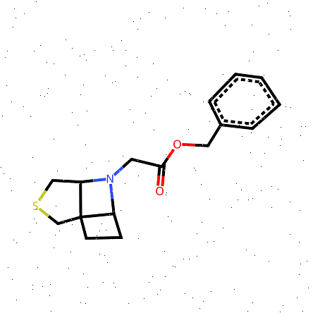 O=C(CN1C2CCC23CSCC13)OCc1ccccc1